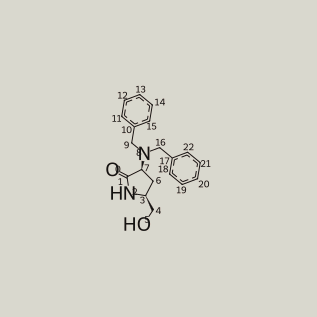 O=C1N[C@H](CO)C[C@@H]1N(Cc1ccccc1)Cc1ccccc1